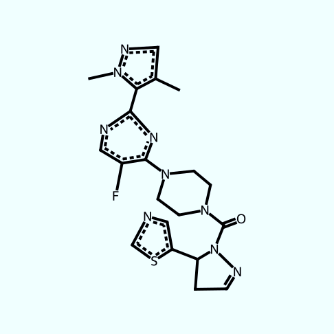 Cc1cnn(C)c1-c1ncc(F)c(N2CCN(C(=O)N3N=CCC3c3cncs3)CC2)n1